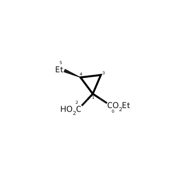 CCOC(=O)C1(C(=O)O)C[C@@H]1CC